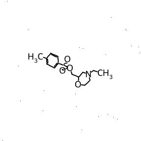 CCN1CCOC(COS(=O)(=O)c2ccc(C)cc2)C1